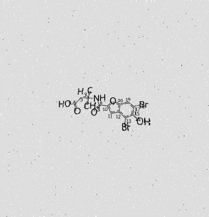 CC(C)(CC(=O)O)NC(=O)c1cc2c(Br)c(O)c(Br)cc2o1